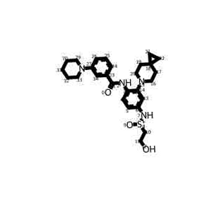 O=C(Nc1ccc(N[S+]([O-])CCO)cc1N1CCC2(CC1)CC2)c1cccc(N2CCCCC2)c1